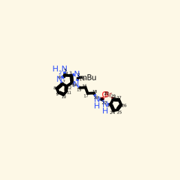 CCCCc1nc2c(N)nc3ccccc3c2n1CCCCNC(=O)Nc1ccccc1Br